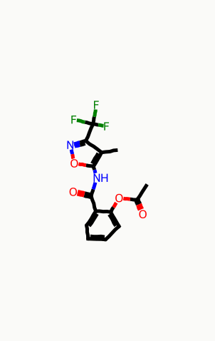 CC(=O)Oc1ccccc1C(=O)Nc1onc(C(F)(F)F)c1C